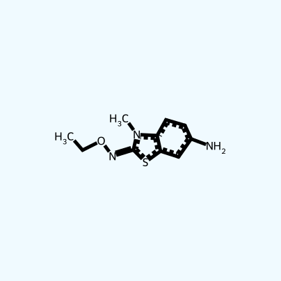 CCON=c1sc2cc(N)ccc2n1C